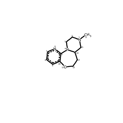 CN1CCN2c3ncccc3OCCC2C1